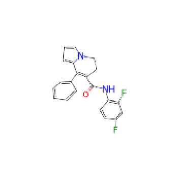 O=C(Nc1ccc(F)cc1F)C1=C(c2ccccc2)c2cccn2CC1